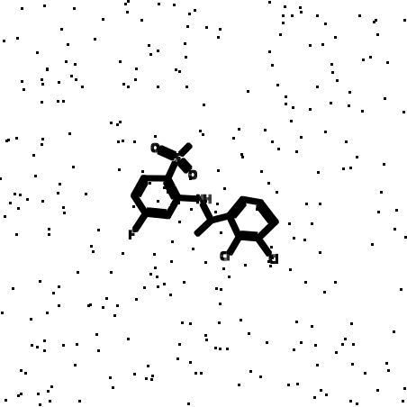 CC(Nc1cc(F)ccc1S(C)(=O)=O)c1cccc(Cl)c1Cl